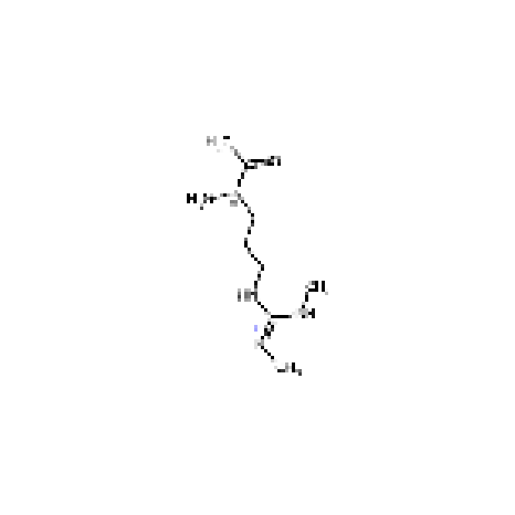 C/N=C(\NC)NCCC[C@H](N)C(C)=O